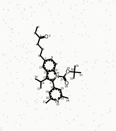 CCC(=O)CCCc1ccc2c(c1)c(C(C)C)c(-c1cc(C)nc(C)c1)n2C(=O)OC(C)(C)C